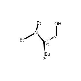 CC[C@H](C)[C@@H](CO)N(CC)CC